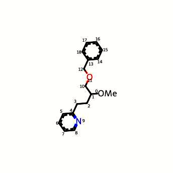 COC(CCc1ccccn1)COCc1ccccc1